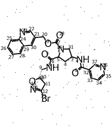 O=C(NC1CC(C(=O)NC[C@@H]2CC(Br)=NO2)N(C(=O)OCc2cnc3ccccc3c2)C1)c1cccnc1